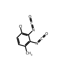 Cc1ccc(Cl)c(N=C=O)c1N=C=O